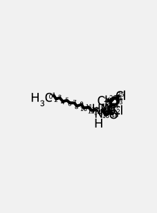 CCCCCCCCCCCCCCNc1cc(=O)n(-c2c(Cl)cc(Cl)cc2Cl)[nH]1